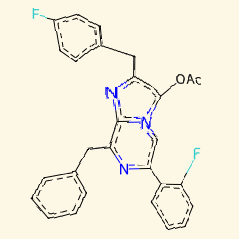 CC(=O)Oc1c(Cc2ccc(F)cc2)nc2c(Cc3ccccc3)nc(-c3ccccc3F)cn12